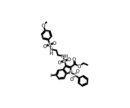 CCOC(=O)c1c(S(=O)(=O)NCCNS(=O)(=O)c2ccc(OC)cc2)c2cc(I)ccc2n1S(=O)(=O)c1ccccc1